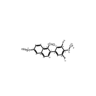 CCCCCCCc1ccc2c(C=O)c(-c3cc(F)c(OC(F)(F)F)c(F)c3)ccc2c1